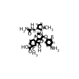 CC1(C(=O)O)C=CCC(C(=O)O)(c2cc(Oc3ccc(N)cc3F)ncn2)C1.CN1CC[C@@H](CNC(N)=O)C1